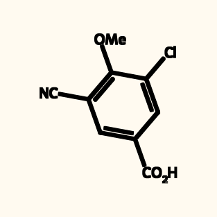 COc1c(Cl)cc(C(=O)O)cc1C#N